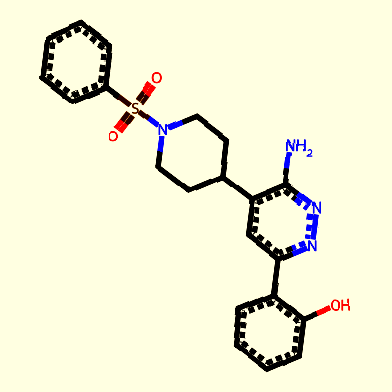 Nc1nnc(-c2ccccc2O)cc1C1CCN(S(=O)(=O)c2ccccc2)CC1